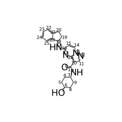 O=C(NC1CCC(O)CC1)c1cnn2ccc(NC3CCc4ccccc43)nc12